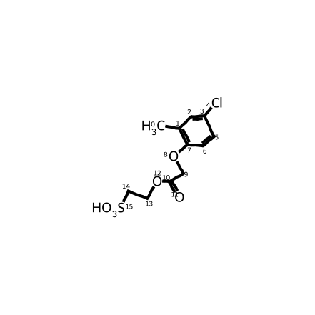 Cc1cc(Cl)ccc1OCC(=O)OCCS(=O)(=O)O